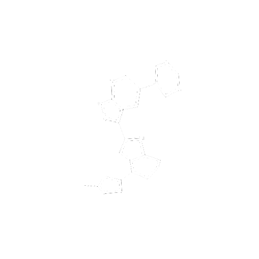 Fc1ccc(-c2cccc3[nH]c(-c4n[nH]c5ncc(-c6cncnc6)cc45)cc23)s1